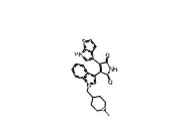 CN1CCC(Cn2cc(C3=C(c4c[nH]c5sccc45)C(=O)NC3=O)c3ccccc32)CC1